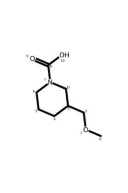 COCC1CCCN(C(=O)O)C1